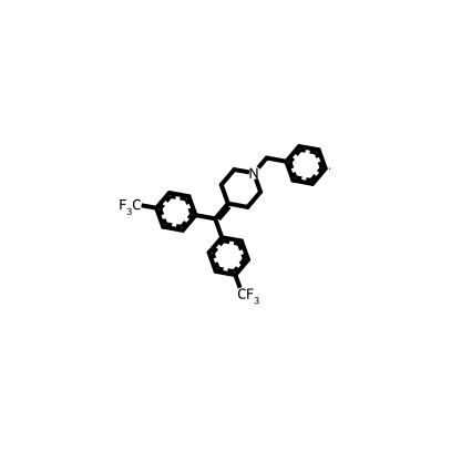 FC(F)(F)c1ccc(C(=C2CCN(Cc3cc[c]cc3)CC2)c2ccc(C(F)(F)F)cc2)cc1